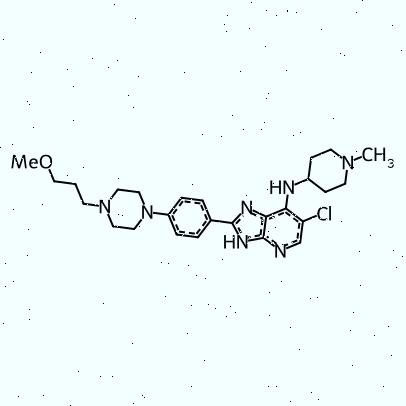 COCCCN1CCN(c2ccc(-c3nc4c(NC5CCN(C)CC5)c(Cl)cnc4[nH]3)cc2)CC1